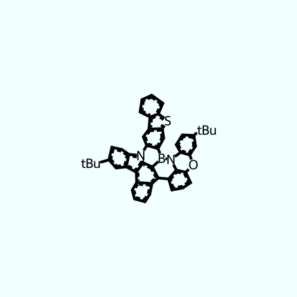 CC(C)(C)c1ccc2c(c1)Oc1cccc3c1N2B1c2cc4sc5ccccc5c4cc2-n2c4ccc(C(C)(C)C)cc4c4c5ccccc5c-3c1c42